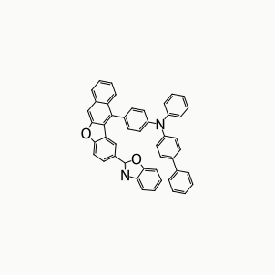 c1ccc(-c2ccc(N(c3ccccc3)c3ccc(-c4c5ccccc5cc5oc6ccc(-c7nc8ccccc8o7)cc6c45)cc3)cc2)cc1